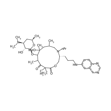 CCCN1CC(C)CC(C)(OC)C(O[C@@H]2O[C@H](C)C[C@H](N(C)C)[C@H]2O)C(C)C(=O)C(C)(C)C(=O)OC[C@H]1CCCNc1ccc2ncncc2c1